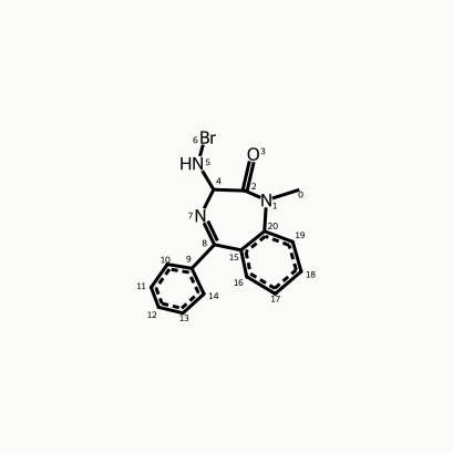 CN1C(=O)C(NBr)N=C(c2ccccc2)c2ccccc21